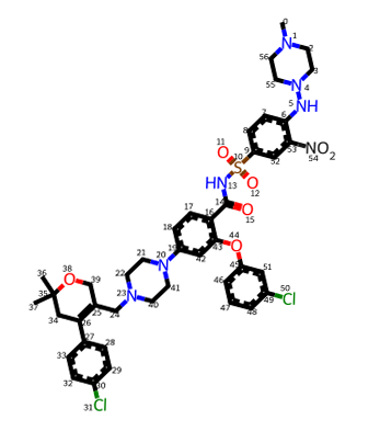 CN1CCN(Nc2ccc(S(=O)(=O)NC(=O)c3ccc(N4CCN(CC5=C(c6ccc(Cl)cc6)CC(C)(C)OC5)CC4)cc3Oc3cccc(Cl)c3)cc2[N+](=O)[O-])CC1